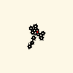 c1ccc2c(c1)-c1ccccc1C21c2ccccc2-c2c(N(c3ccc(-c4ccc5c(c4)oc4ccccc45)cc3)c3ccc4c5ccccc5c5ccccc5c4c3)cccc21